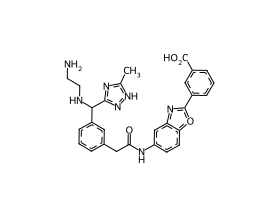 Cc1nc(C(NCCN)c2cccc(CC(=O)Nc3ccc4oc(-c5cccc(C(=O)O)c5)nc4c3)c2)n[nH]1